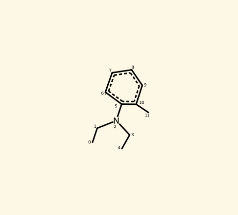 CCN(CC)c1[c]cccc1C